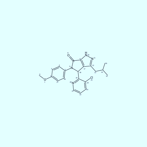 COc1ccc(N2C(=O)c3[nH]nc(CC(C)C)c3C2c2ncccc2Cl)cc1